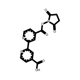 O=C(O)c1ccnc(-c2cc(C(=O)ON3C(=O)CCC3=O)ccn2)c1